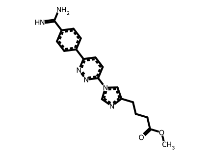 COC(=O)CCCc1cn(-c2ccc(-c3ccc(C(=N)N)cc3)nn2)cn1